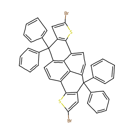 Brc1cc2c(s1)-c1ccc3c4c(ccc(c14)C2(c1ccccc1)c1ccccc1)-c1sc(Br)cc1C3(c1ccccc1)c1ccccc1